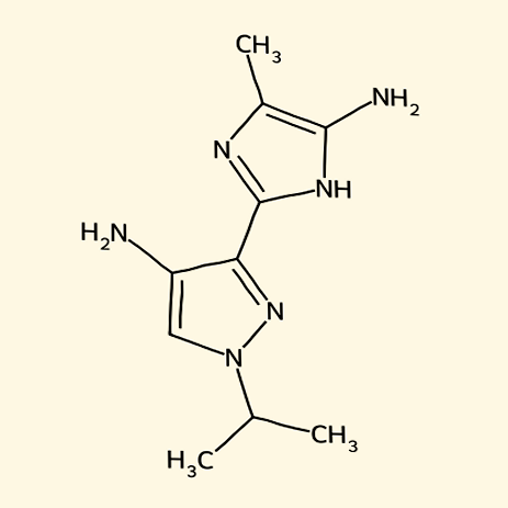 Cc1nc(-c2nn(C(C)C)cc2N)[nH]c1N